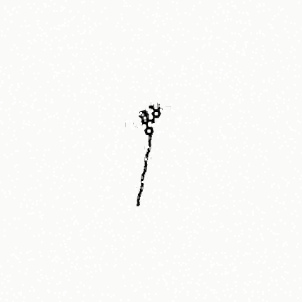 COc1c(-c2ccc(OCCOCCOCCOCCOCCOCCOCCI)cc2)c(C(=O)c2ccc(N)c(C(=O)O)c2)n2ccccc12